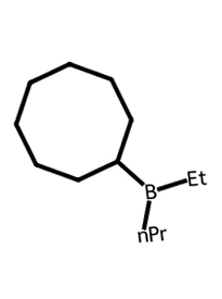 CCCB(CC)C1CCCCCCC1